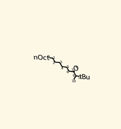 CCCCCCCCCCCCCCC(=O)C(C)C(C)(C)C